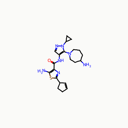 Nc1sc(C2C=CCC2)nc1C(=O)Nc1cnn(C2CC2)c1N1CCCC(N)CC1